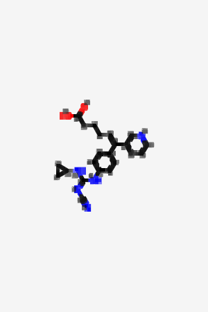 N#C/N=C(\Nc1ccc(/C(=C\CCCC(=O)O)c2cccnc2)cc1)NC1CC1